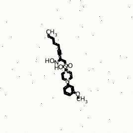 CCCCCC#CC(CS(=O)(=O)N1CCN(c2cccc(OC)c2)CC1)NO